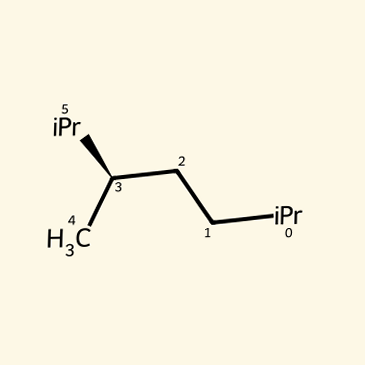 CC(C)CC[C@@H](C)C(C)C